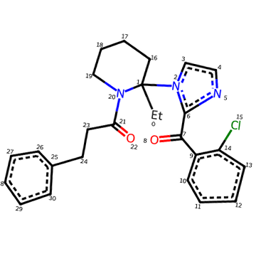 CCC1(n2ccnc2C(=O)c2ccccc2Cl)CCCCN1C(=O)CCc1ccccc1